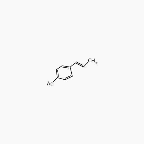 CC=Cc1ccc(C(C)=O)cc1